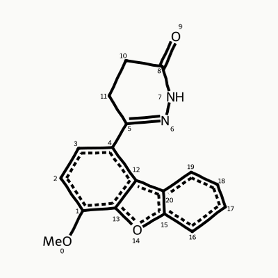 COc1ccc(C2=NNC(=O)CC2)c2c1oc1ccccc12